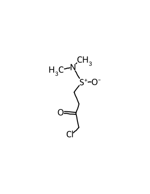 CN(C)[S+]([O-])CCC(=O)CCl